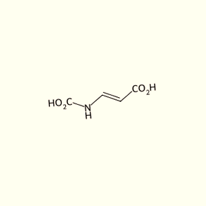 O=C(O)C=CNC(=O)O